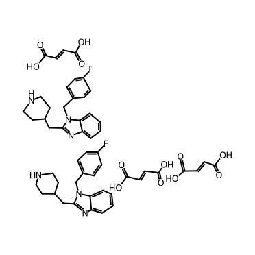 Fc1ccc(Cn2c(CC3CCNCC3)nc3ccccc32)cc1.Fc1ccc(Cn2c(CC3CCNCC3)nc3ccccc32)cc1.O=C(O)C=CC(=O)O.O=C(O)C=CC(=O)O.O=C(O)C=CC(=O)O